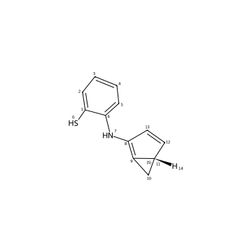 Sc1ccccc1NC1=C2C[C@H]2C=C1